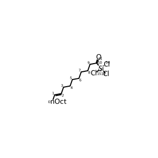 CCCCCCCCC=CCCCCCCCC(=O)[Si](Cl)(Cl)Cl